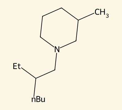 CCCCC(CC)CN1CCCC(C)C1